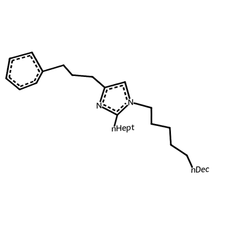 CCCCCCCCCCCCCCCn1cc(CCCc2ccccc2)nc1CCCCCCC